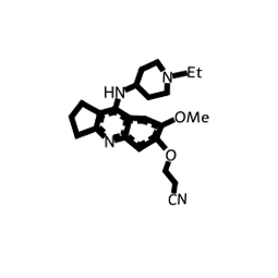 CCN1CCC(Nc2c3c(nc4cc(OCCC#N)c(OC)cc24)CCC3)CC1